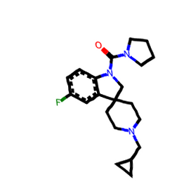 O=C(N1CCCC1)N1CC2(CCN(CC3CC3)CC2)c2cc(F)ccc21